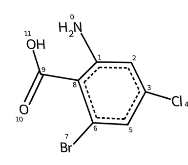 Nc1cc(Cl)cc(Br)c1C(=O)O